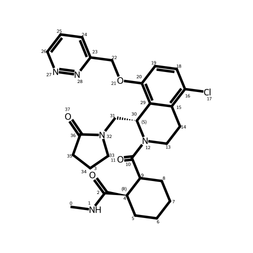 CNC(=O)[C@@H]1CCCCC1C(=O)N1CCc2c(Cl)ccc(OCc3cccnn3)c2[C@H]1CN1CCCC1=O